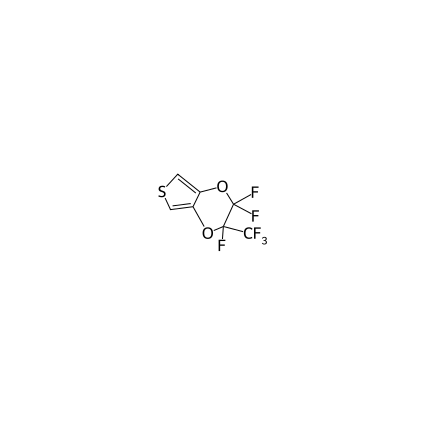 FC(F)(F)C1(F)Oc2cscc2OC1(F)F